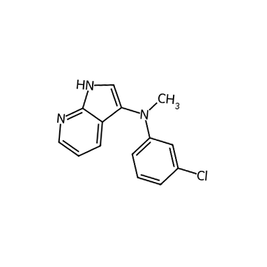 CN(c1cccc(Cl)c1)c1c[nH]c2ncccc12